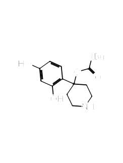 CC(C)(C)C(=O)OC1(c2ccc(O)cc2O)CCNCC1